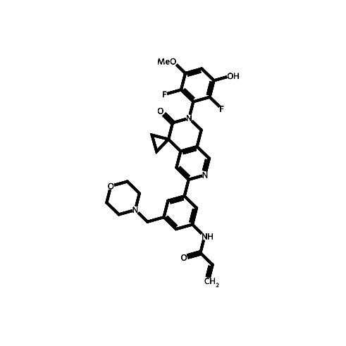 C=CC(=O)Nc1cc(CN2CCOCC2)cc(-c2cc3c(cn2)CN(c2c(F)c(O)cc(OC)c2F)C(=O)C32CC2)c1